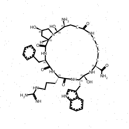 N=C(N)NCCC[C@@H]1NC(=O)[C@@H](Cc2ccccc2)NC(=O)[C@@H]2C[C@@H](O)CN2[C@@H](O)[C@@H](N)CCC(=O)NCCCC[C@@H](C(N)=O)N[C@@H](O)[C@H](Cc2c[nH]c3ccccc23)NC1=O